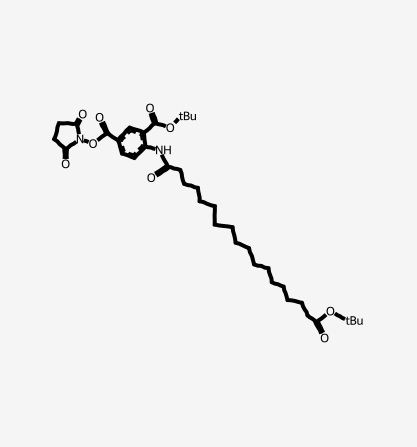 CC(C)(C)OC(=O)CCCCCCCCCCCCCCCCC(=O)Nc1ccc(C(=O)ON2C(=O)CCC2=O)cc1C(=O)OC(C)(C)C